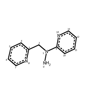 NN(Cc1ccccn1)c1ccccn1